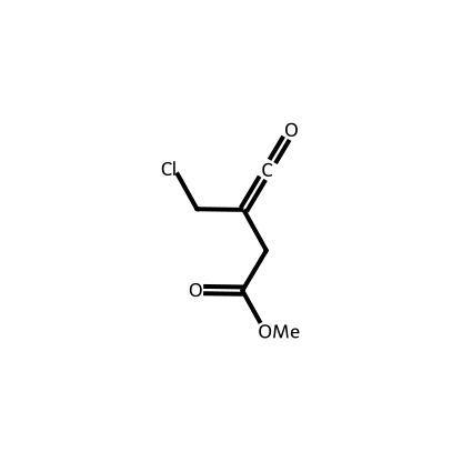 COC(=O)CC(=C=O)CCl